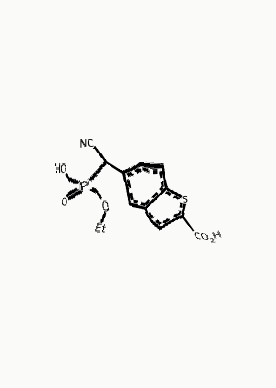 CCOP(=O)(O)C(C#N)c1ccc2sc(C(=O)O)cc2c1